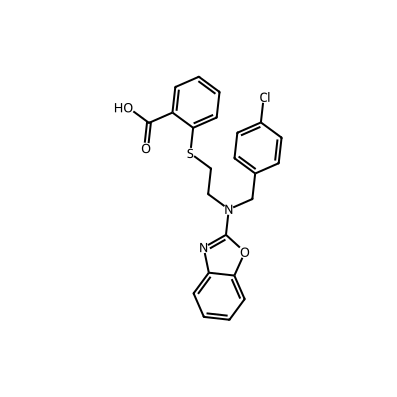 O=C(O)c1ccccc1SCCN(Cc1ccc(Cl)cc1)c1nc2ccccc2o1